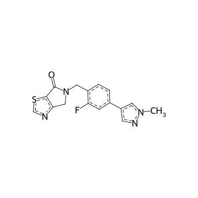 Cn1cc(-c2ccc(CN3Cc4ncsc4C3=O)c(F)c2)cn1